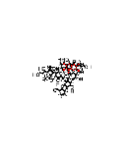 CC1C(O)[C@H](O[C@@H]2OC(CO)[C@H](O)C(O[C@]3(C(=O)O)C[C@@H](O)[C@@H](N)C(C(O)[C@H](O)CO)O3)[C@@H]2O)[C@H](CO)O[C@H]1O[C@@H]1C(O)[C@H](O)C(CO)O[C@@H]1OCC1O[C@@H](O[C@@H]2C(CO)O[C@@H](O[C@@H]3C(CO)O[C@@H](C)[C@@H](C)C3O)[C@@H](C)C2O)[C@H](O)C(OC2O[C@H](CO)[C@@H](O)C(O)C2O[C@@H]2OC(CO)[C@@H](O)C(O)[C@@H]2C)[C@@H]1O